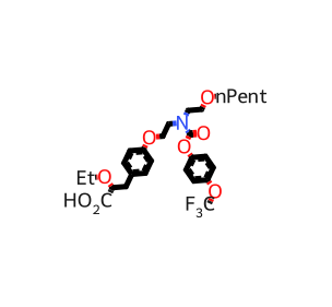 CCCCCOCCN(CCOc1ccc(CC(OCC)C(=O)O)cc1)C(=O)Oc1ccc(OC(F)(F)F)cc1